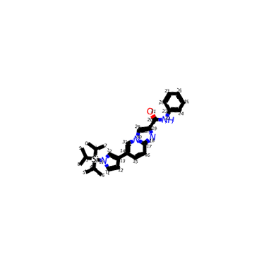 CC(C)[Si](C(C)C)(C(C)C)n1ccc(-c2ccc3nc(C(=O)Nc4ccccc4)cn3c2)c1